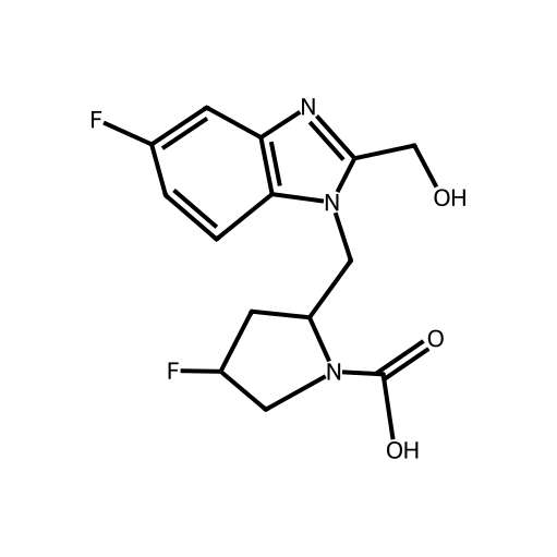 O=C(O)N1CC(F)CC1Cn1c(CO)nc2cc(F)ccc21